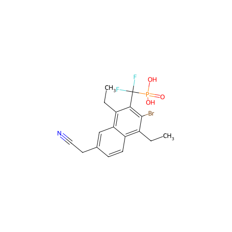 CCc1c(Br)c(C(F)(F)P(=O)(O)O)c(CC)c2cc(CC#N)ccc12